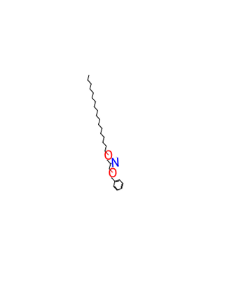 CCCCCCCCCCCCCCCCCCOCC(COCc1ccccc1)N(C)C